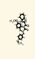 COc1ccc(CN(Cc2ccc(OC)cc2)C(=S)NC(=O)c2nc3ccccc3[nH]2)cc1